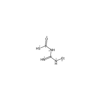 CCNC(=N)NC(=O)S